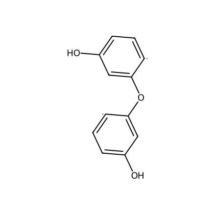 Oc1cc[c]c(Oc2[c]ccc(O)c2)c1